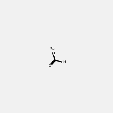 CCC(=O)O.[Ru]